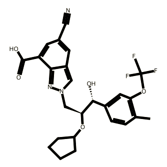 Cc1ccc([C@@H](O)[C@H](Cn2cc3cc(C#N)cc(C(=O)O)c3n2)OC2CCCC2)cc1OC(F)(F)F